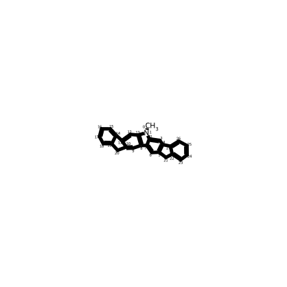 Cn1c2cc3c(cc2c2cc4c(cc21)-c1ccccc1C4)Cc1ccccc1-3